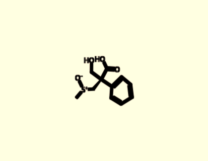 C[S+]([O-])C[C@@](CO)(C(=O)O)c1ccccc1